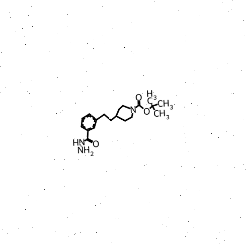 CC(C)(C)OC(=O)N1CCC(CCc2cccc(C(=O)NN)c2)CC1